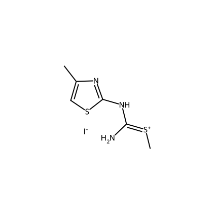 C/[S+]=C(\N)Nc1nc(C)cs1.[I-]